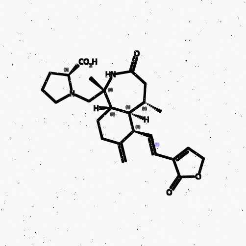 C=C1CC[C@H]2[C@@H]([C@@H](C)CC(=O)N[C@@]2(C)CN2CCC[C@H]2C(=O)O)[C@H]1/C=C/C1=CCOC1=O